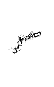 O=C(NC1NC=CCN1)C1CCN(c2ncnc3c2ncn3C[C@H](NS(=O)(=O)c2ccc3ccccc3c2)C(=O)O)CC1